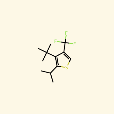 CC(C)c1scc(C(F)(F)F)c1C(C)(C)C